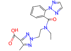 CCN(CCn1nc(C)c(C(=O)O)n1)C(=O)c1ccccc1-n1nccn1